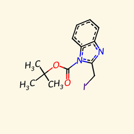 CC(C)(C)OC(=O)n1c(CI)nc2ccccc21